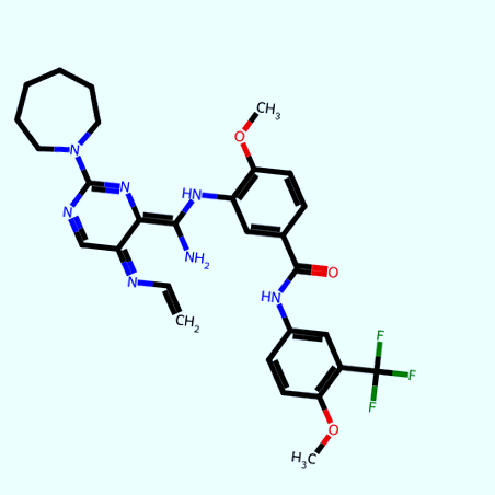 C=C/N=C1/C=NC(N2CCCCCC2)=N/C1=C(/N)Nc1cc(C(=O)Nc2ccc(OC)c(C(F)(F)F)c2)ccc1OC